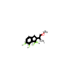 CCC(C)OCC(C)C1Cc2ccc(F)c(F)c2C1(F)F